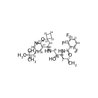 C=CC[C@H](NC(=O)c1c(F)ccc(F)c1F)[C@H](O)CN[C@H]1CC2(CCC2)Oc2ncc(CC(C)(C)C)cc21